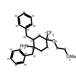 COCCOC1(C(F)(F)F)CCC(N)(Cc2ccccc2)C(Cc2ccccc2)C1